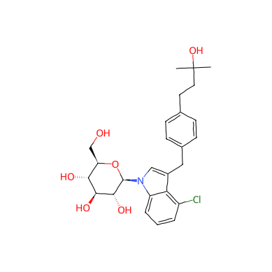 CC(C)(O)CCc1ccc(Cc2cn([C@@H]3O[C@H](CO)[C@@H](O)[C@H](O)[C@H]3O)c3cccc(Cl)c23)cc1